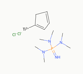 CN(C)P(=N)(N(C)C)N(C)C.[Cl-].[Cl-].[Ti+2][C]1=CC=CC1